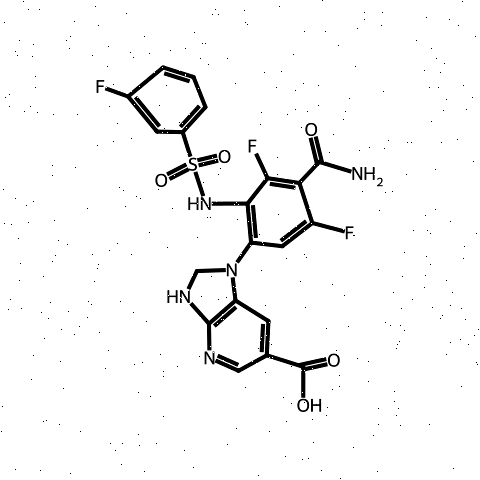 NC(=O)c1c(F)cc(N2CNc3ncc(C(=O)O)cc32)c(NS(=O)(=O)c2cccc(F)c2)c1F